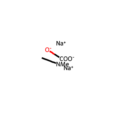 CNC.O=C([O-])[O-].[Na+].[Na+]